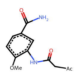 COc1ccc(C(N)=O)cc1NC(=O)CC(C)=O